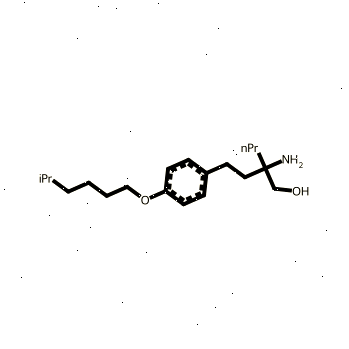 CCCC(N)(CO)CCc1ccc(OCCCCC(C)C)cc1